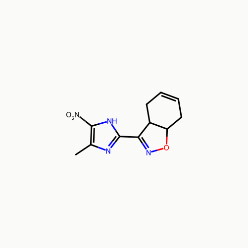 Cc1nc(C2=NOC3CC=CCC23)[nH]c1[N+](=O)[O-]